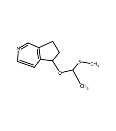 CSC(C)OC1CCc2cnccc21